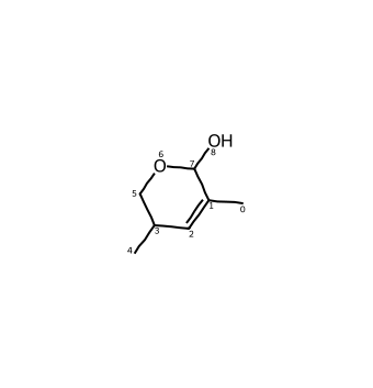 CC1=CC(C)COC1O